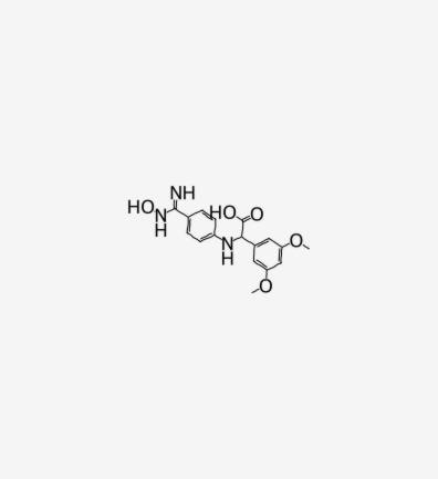 COc1cc(OC)cc(C(Nc2ccc(C(=N)NO)cc2)C(=O)O)c1